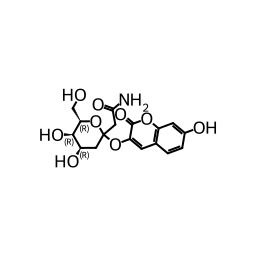 NC(=O)CC1(Oc2cc3ccc(O)cc3oc2=O)C[C@@H](O)[C@@H](O)[C@@H](CO)O1